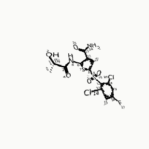 C[C@H](O)C(=O)Nc1sc(S(=O)(=O)c2c(Cl)cc(F)cc2Cl)cc1C(N)=O